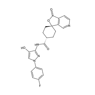 O=C1O[C@]2(CC[C@@H](C(=O)Nc3nn(-c4ccc(F)cc4)cc3O)CC2)c2cnccc21